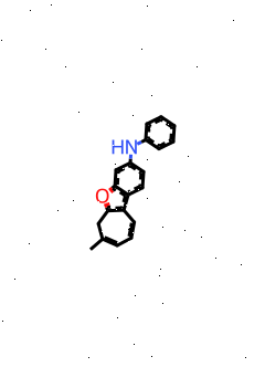 CC1=CC=Cc2c(oc3cc(Nc4ccccc4)ccc23)C1